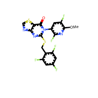 COc1nc(F)c(-n2c(SCc3c(F)cc(F)cc3F)nc3ncsc3c2=O)cc1F